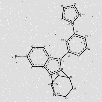 Fc1ccc2c(c1)c1c(n2-c2cccc(-n3cccn3)n2)C2CCN(CC2)C1